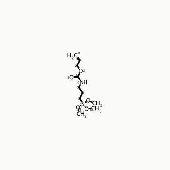 C=CCOC(=O)NCCC[Si](OC)(OC)OC